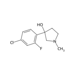 CN1CCC(O)(c2ccc(Cl)cc2F)C1